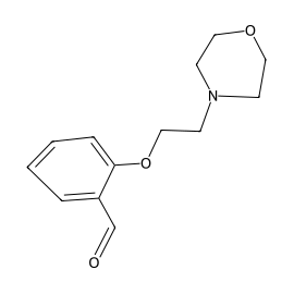 O=Cc1ccccc1OCCN1CCOCC1